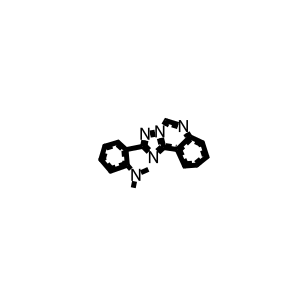 CN(C)c1ccccc1-c1nc2c3ccccc3ncn2n1